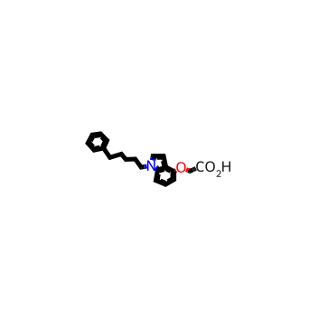 O=C(O)COc1cccc2c1ccn2CCCCCc1ccccc1